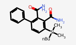 [CH2]CCC[Si](C)(C)c1ccc(-c2ccccc2)c(C(N)=O)c1C(N)=O